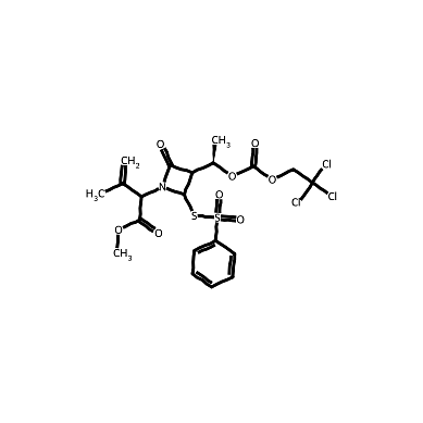 C=C(C)C(C(=O)OC)N1C(=O)C([C@@H](C)OC(=O)OCC(Cl)(Cl)Cl)C1SS(=O)(=O)c1ccccc1